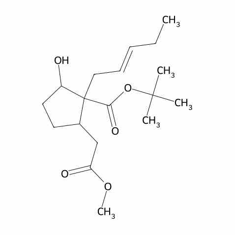 CCC=CCC1(C(=O)OC(C)(C)C)C(O)CCC1CC(=O)OC